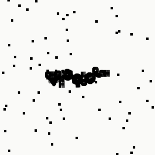 Cc1cc(-c2ccnc(NC(=O)[C@@H]3C[C@@H]3CO)c2)ccc1O[C@H]1CCN(C(=O)CO)C[C@H]1F